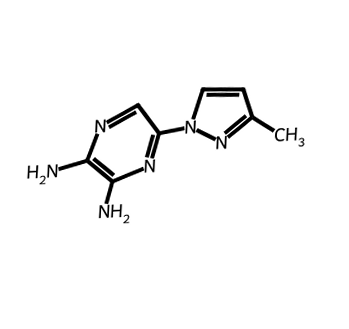 Cc1ccn(-c2cnc(N)c(N)n2)n1